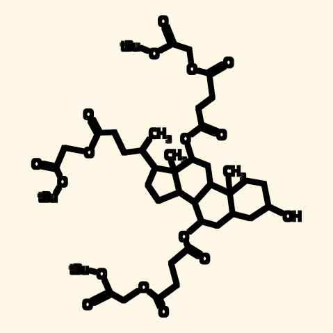 CC(CCC(=O)OCC(=O)OC(C)(C)C)C1CCC2C3C(OC(=O)CCC(=O)OCC(=O)OC(C)(C)C)CC4CC(O)CCC4(C)C3CC(OC(=O)CCC(=O)OCC(=O)OC(C)(C)C)C12C